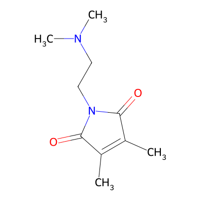 CC1=C(C)C(=O)N(CCN(C)C)C1=O